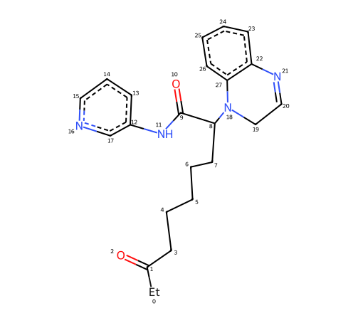 CCC(=O)CCCCCC(C(=O)Nc1cccnc1)N1CC=Nc2ccccc21